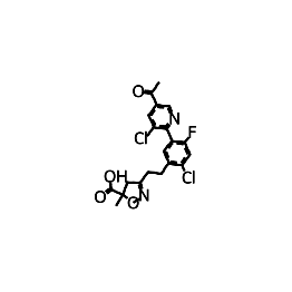 CC(=O)c1cnc(-c2cc(CCC3=NOC(C)(C(=O)O)C3)c(Cl)cc2F)c(Cl)c1